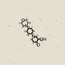 O=c1ccn(-c2ccc(N3CCOCC3)cc2)cc1O